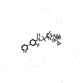 CC(C)(CNc1ccc(-c2cccnc2)cc1F)c1csc(NS(=O)(=O)C2CC2)n1